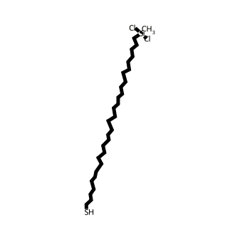 C[Si](Cl)(Cl)CCCCCCCCCCCCCCCCCCCCCCCCCCCCCS